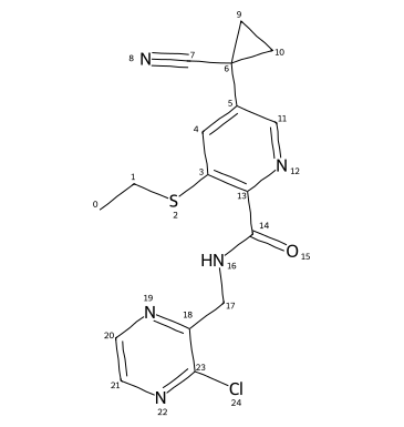 CCSc1cc(C2(C#N)CC2)cnc1C(=O)NCc1nccnc1Cl